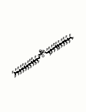 O=P(O)(OCC(F)(F)C(F)(F)C(F)(F)C(F)(F)C(F)(F)C(F)(F)C(F)(F)C(F)(F)C(F)(F)C(F)F)OCC(F)(F)C(F)(F)C(F)(F)C(F)(F)C(F)(F)C(F)(F)C(F)(F)C(F)(F)C(F)(F)C(F)F